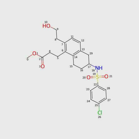 COC(=O)CCc1c(CCO)ccc2c1CCC(NS(=O)(=O)c1ccc(Cl)cc1)C2